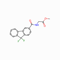 COC(=O)CNC(=O)c1ccc2c(c1)-c1ccccc1C2(F)F